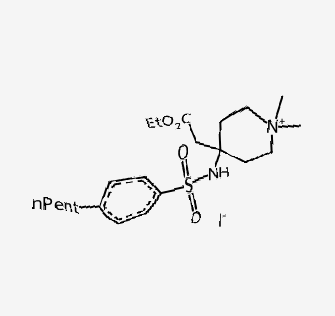 CCCCCc1ccc(S(=O)(=O)NC2(CC(=O)OCC)CC[N+](C)(C)CC2)cc1.[I-]